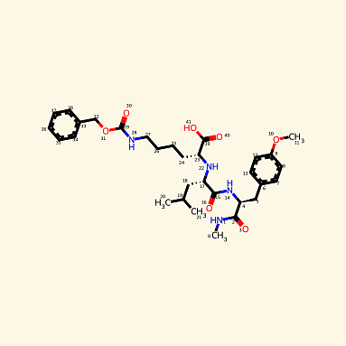 CNC(=O)[C@H](Cc1ccc(OC)cc1)NC(=O)[C@H](CC(C)C)N[C@H](CCCCNC(=O)OCc1ccccc1)C(=O)O